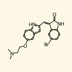 CN(C)CCOc1ccc2[nH]c(/C=C3/C(=O)Nc4ccc(Br)cc43)cc2c1